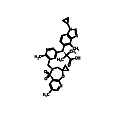 Cc1cnc2c(c1)S(=O)(=O)N(Cc1cc([C@H](c3ccc4c(nnn4C4CC4)c3C)C(C)(C)C(=O)O)cnc1C)CC1(CC1)O2